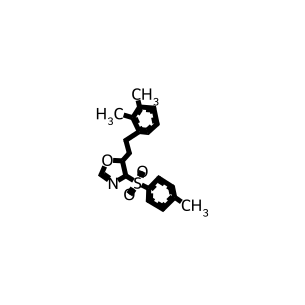 Cc1ccc(S(=O)(=O)C2N=COC2CCc2cccc(C)c2C)cc1